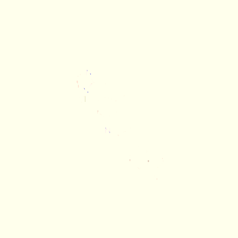 CCS(=O)(=O)c1ccc(CC(=O)Nc2cc(Cl)c(C3(c4noc(C(C)C)n4)CC3)c(Cl)c2)cc1